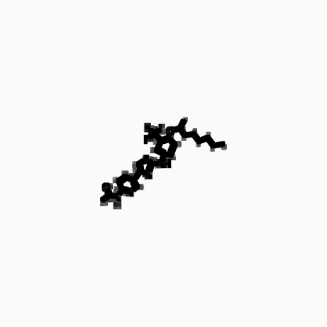 CCCCCCC(C)Oc1ccc(Nc2nc(-c3ccc(NC(C)=O)nc3)cs2)cc1C(F)(F)F